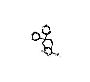 Nc1n[nH]c2c1C=CC(c1ccccc1)(c1cccnc1)C2